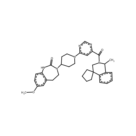 COc1ccc2c(c1)CCN(C1CCN(c3cc(C(=O)N4CC5(CCCC5)c5ccccc5C4C)ncn3)CC1)C(=O)N2